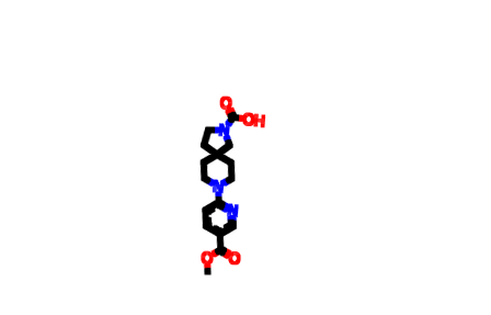 COC(=O)c1ccc(N2CCC3(CCN(C(=O)O)C3)CC2)nc1